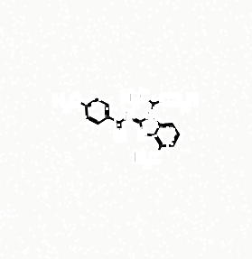 Cc1ccc(C(=O)N=c2sc3c(C)cccc3n2C(C)C(=O)O)cc1